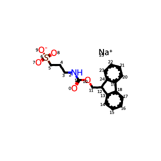 O=C(NCCCS(=O)(=O)[O-])OCC1c2ccccc2-c2ccccc21.[Na+]